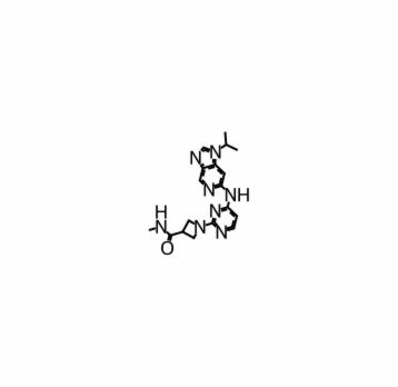 CNC(=O)C1CN(c2nccc(Nc3cc4c(cn3)ncn4C(C)C)n2)C1